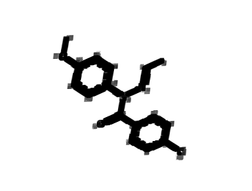 CC=NN(C(=O)c1ccc(Cl)cc1)c1ccc(OC)cc1